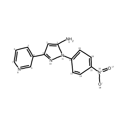 Nc1cc(-c2cccnc2)nn1-c1ccc([N+](=O)[O-])cc1